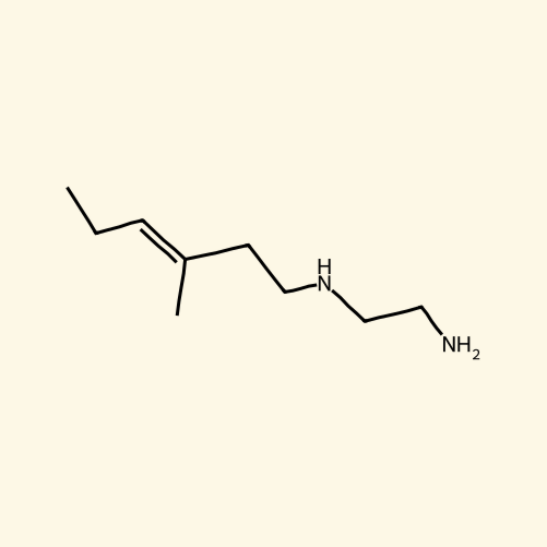 CC/C=C(\C)CCNCCN